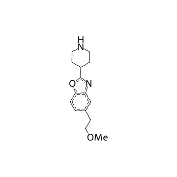 COCCc1ccc2oc(C3CCNCC3)nc2c1